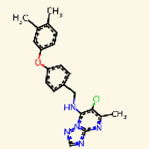 Cc1ccc(Oc2ccc(CNc3c(Cl)c(C)nc4ncnn34)cc2)cc1C